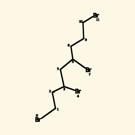 BrC[CH]C(Br)CC(Br)CCCBr